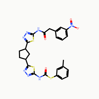 Cc1cccc(SC(=O)Nc2nnc(C3CCC(c4nnc(NC(=O)Cc5cccc([N+](=O)[O-])c5)s4)C3)s2)c1